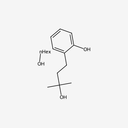 CC(C)(O)CCc1ccccc1O.CCCCCCO